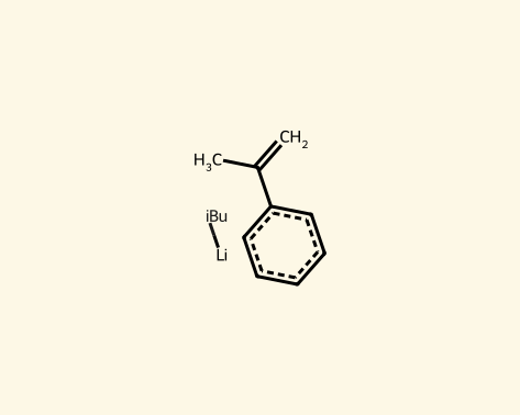 C=C(C)c1ccccc1.[Li][CH](C)CC